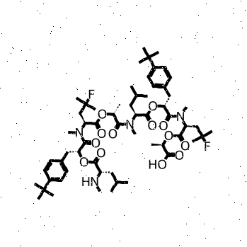 CN[C@@H](CC(C)C)C(=O)O[C@H](Cc1ccc(C(C)(C)C)cc1)C(=O)N(C)[C@@H](CC(C)(C)F)C(=O)O[C@H](C)C(=O)N(C)[C@@H](CC(C)C)C(=O)O[C@H](Cc1ccc(C(C)(C)C)cc1)C(=O)N(C)[C@@H](CC(C)(C)F)C(=O)O[C@H](C)C(=O)O